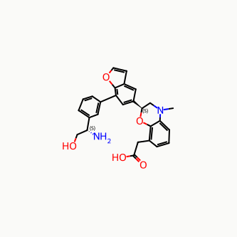 CN1C[C@H](c2cc(-c3cccc([C@H](N)CO)c3)c3occc3c2)Oc2c(CC(=O)O)cccc21